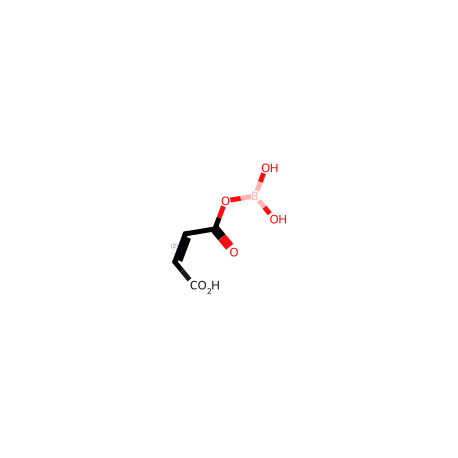 O=C(O)/C=C\C(=O)OB(O)O